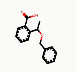 CC(OCc1ccccc1)c1ccccc1C(=O)O